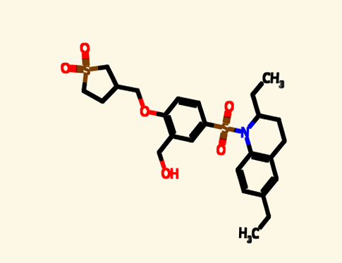 CCc1ccc2c(c1)CCC(CC)N2S(=O)(=O)c1ccc(OCC2CCS(=O)(=O)C2)c(CO)c1